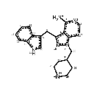 Nc1ncnc2c1c(Cc1c[nH]c3ccccc13)nn2CC1CCNCC1